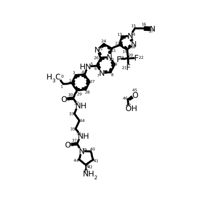 CCc1cc(Nc2nccn3c(-c4cn(CC#N)nc4C(F)(F)F)cnc23)ccc1C(=O)NCCCNC(=O)N1CC[C@@H](N)C1.O=CO